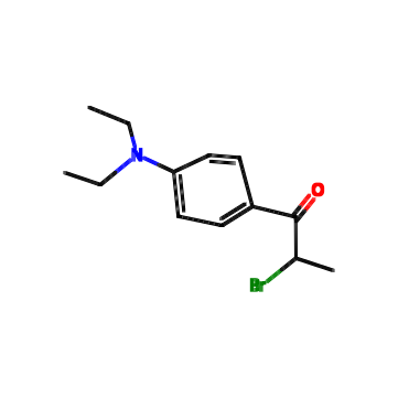 CCN(CC)c1ccc(C(=O)C(C)Br)cc1